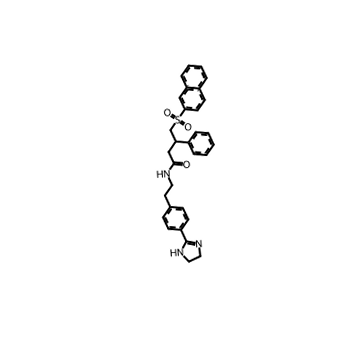 O=C(CC(CS(=O)(=O)c1ccc2ccccc2c1)c1ccccc1)NCCc1ccc(C2=NCCN2)cc1